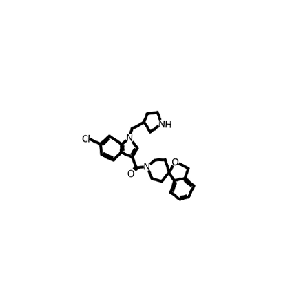 O=C(c1cn(CC2CCNC2)c2cc(Cl)ccc12)N1CCC2(CC1)OCc1ccccc12